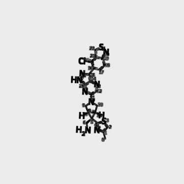 Cc1csc([C@]2(CN)[C@@H]3CN(c4cnc5c(-c6ccc7nscc7c6Cl)n[nH]c5n4)C[C@@H]32)n1